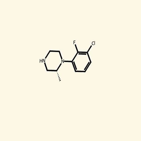 C[C@@H]1CNCCN1c1cccc(Cl)c1F